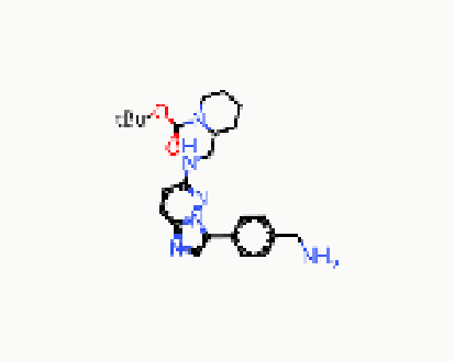 CC(C)(C)OC(=O)N1CCCC[C@H]1CNc1ccc2ncc(-c3ccc(CN)cc3)n2n1